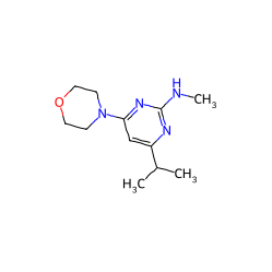 CNc1nc(C(C)C)cc(N2CCOCC2)n1